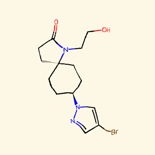 O=C1CC[C@]2(CC[C@H](n3cc(Br)cn3)CC2)N1CCO